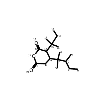 CCC(C)C(C)(C)C1CC(=O)OC(=O)C1C(C)(C)CC